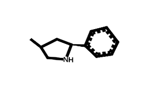 CC1CN[C@H](c2ccccc2)C1